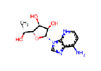 C[C@@H](O)[C@H]1O[C@@H](n2cnc3c(N)ccnc32)[C@H](O)[C@@H]1O